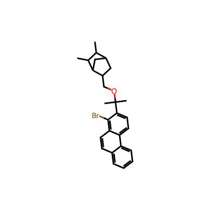 CC1C2CC(COC(C)(C)c3ccc4c(ccc5ccccc54)c3Br)C(C2)C1C